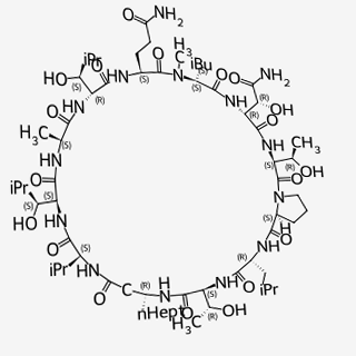 CCCCCCC[C@@H]1CC(=O)N[C@@H](C(C)C)C(=O)N[C@@H]([C@@H](O)C(C)C)C(=O)N[C@@H](C)C(=O)N[C@H]([C@@H](O)C(C)C)C(=O)N[C@@H](CCC(N)=O)C(=O)N(C)[C@@H]([C@@H](C)CC)C(=O)N[C@H]([C@@H](O)C(N)=O)C(=O)N[C@@H]([C@@H](C)O)C(=O)N2CCC[C@H]2C(=O)N[C@H](CC(C)C)C(=O)N[C@@H]([C@@H](C)O)C(=O)N1